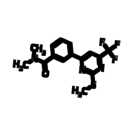 CSc1nc(-c2cccc(C(=O)N(C)C)c2)cc(C(F)(F)F)n1